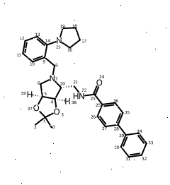 CC1(C)O[C@H]2[C@H](CN(Cc3ccccc3N3CCCC3)[C@@H]2CNC(=O)c2ccc(-c3ccccc3)cc2)O1